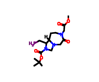 COC(=O)CN1CC[C@H]2C(CP)N(C(=O)OC(C)(C)C)CN2CC1=O